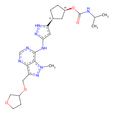 CC(C)NC(=O)O[C@@H]1CC[C@H](c2cc(Nc3ncnc4c(COC5CCOC5)nn(C)c34)n[nH]2)C1